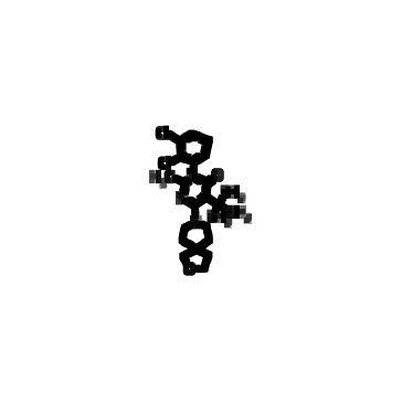 BC(B)(B)c1c(N2CCC3(CCOC3)CC2)nc(C)n(-c2cccc(Cl)c2Cl)c1=O